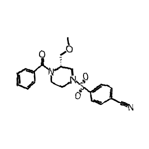 COC[C@@H]1CN(S(=O)(=O)c2ccc(C#N)cc2)CCN1C(=O)c1ccccc1